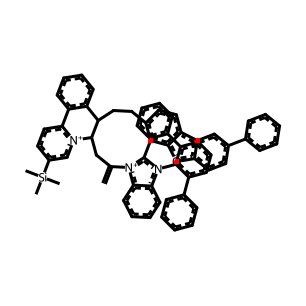 C=C1CC2C(CCc3ccc4c(oc5ccc(-c6ccccc6)cc54)c3-c3n(-c4c(-c5ccccc5)cccc4-c4ccccc4)c4ccccc4[n+]31)c1ccccc1-c1ccc([Si](C)(C)C)c[n+]12